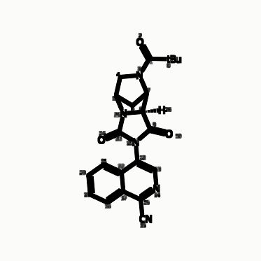 CC(C)(C)C(=O)N1CC2CC1[C@H]1C(=O)N(c3cnc(C#N)c4ccccc34)C(=O)N21